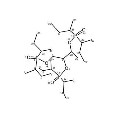 CCC(C)P(=O)(OCC(OP(=O)(C(C)CC)C(C)CC)C(C)OP(=O)(C(C)CC)C(C)CC)C(C)CC